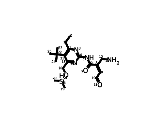 CCc1nc(NC(=O)/C(=C\C=O)CN)nc(CO[SiH](C)C)c1C(C)(C)C